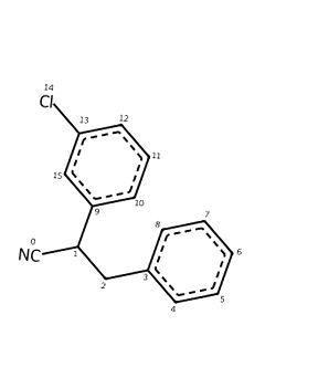 N#CC(Cc1ccccc1)c1cccc(Cl)c1